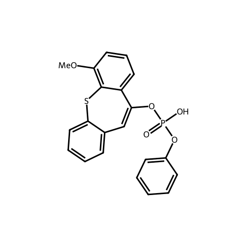 COc1cccc2c1Sc1ccccc1C=C2OP(=O)(O)Oc1ccccc1